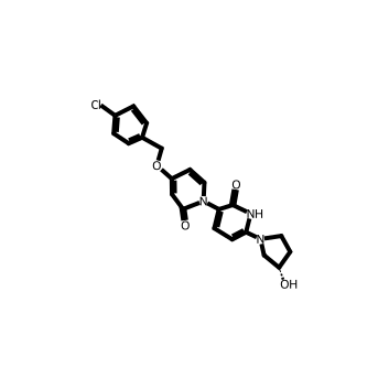 O=c1[nH]c(N2CC[C@H](O)C2)ccc1-n1ccc(OCc2ccc(Cl)cc2)cc1=O